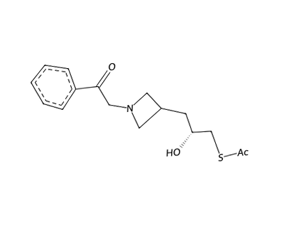 CC(=O)SC[C@H](O)CC1CN(CC(=O)c2ccccc2)C1